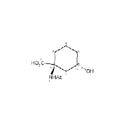 CC(=O)N[C@@]1(C(=O)O)CCC[C@H](O)C1